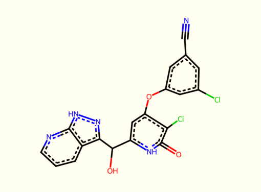 N#Cc1cc(Cl)cc(Oc2cc(C(O)c3n[nH]c4ncccc34)[nH]c(=O)c2Cl)c1